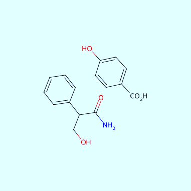 NC(=O)C(CO)c1ccccc1.O=C(O)c1ccc(O)cc1